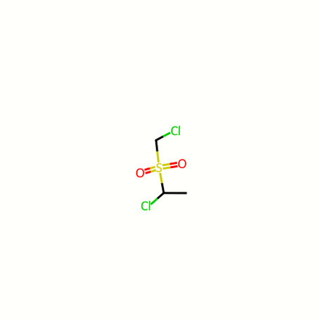 CC(Cl)S(=O)(=O)CCl